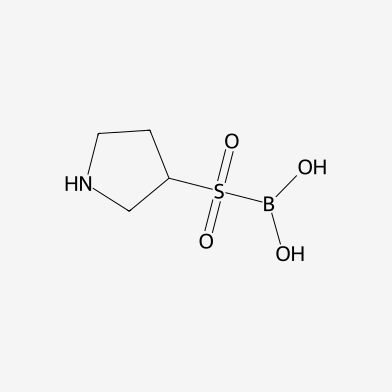 O=S(=O)(B(O)O)C1CCNC1